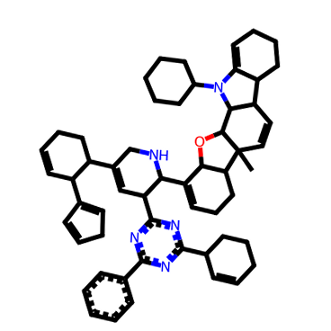 CC12C=CC3C4CCCC=C4N(C4CCCCC4)C3C1OC1C(C3NCC(C4CCC=CC4C4=CCC=C4)=CC3c3nc(-c4ccccc4)nc(C4C=CCCC4)n3)=CCCC12